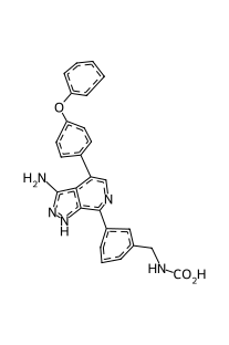 Nc1n[nH]c2c(-c3cccc(CNC(=O)O)c3)ncc(-c3ccc(Oc4ccccc4)cc3)c12